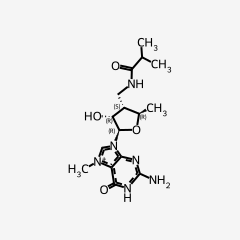 CC(C)C(=O)NC[C@H]1[C@@H](O)[C@H](n2c[n+](C)c3c(=O)[nH]c(N)nc32)O[C@@H]1C